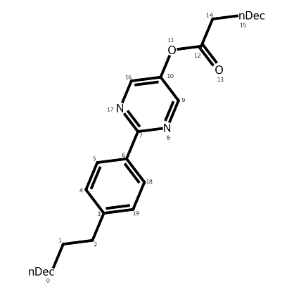 CCCCCCCCCCCCc1ccc(-c2ncc(OC(=O)CCCCCCCCCCC)cn2)cc1